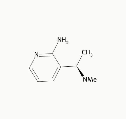 CN[C@H](C)c1cccnc1N